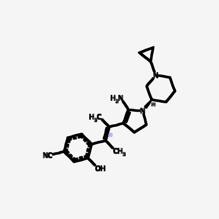 C/C(C1=C(N)N([C@@H]2CCCN(C3CC3)C2)CC1)=C(/C)c1ccc(C#N)cc1O